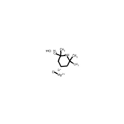 CC1(C)CCCC(C)(C)N1.Cl.[Li+].[Mg+2][Cl]